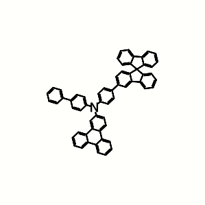 c1ccc(-c2ccc(N(c3ccc(-c4ccc5c(c4)-c4ccccc4C54c5ccccc5-c5ccccc54)cc3)c3ccc4c5ccccc5c5ccccc5c4c3)cc2)cc1